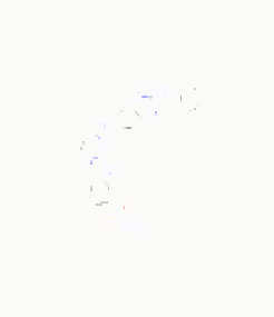 CN(c1ccc2c(c1)nc(Nc1ccccc1)n2C)c1ccnc(Nc2cccc(S(N)(=O)=O)c2)n1